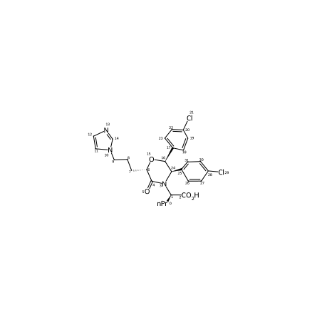 CCC[C@H](C(=O)O)N1C(=O)[C@H](CCCn2ccnc2)O[C@@H](c2ccc(Cl)cc2)[C@H]1c1ccc(Cl)cc1